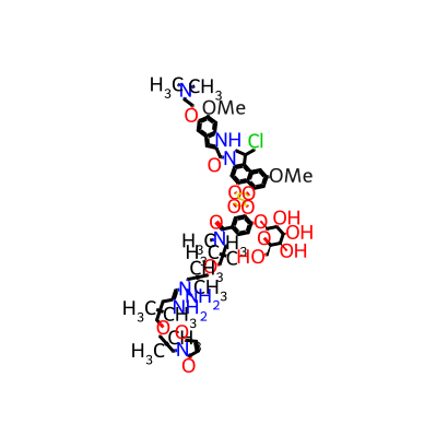 COc1ccc2c(OS(=O)(=O)Oc3cc(C(=O)N(C)CC(C)(C)COCC(C)(C)CN(N)/C=C(\N)CC(C)(C)COCC(C)(C)CN4C(=O)C=CC4=O)ccc3O[C@@H]3O[C@H](CO)[C@H](O)[C@H](O)C3O)cc3c(c2c1)C(CCl)CN3C(=O)c1cc2cc(OCCN(C)C)c(OC)cc2[nH]1